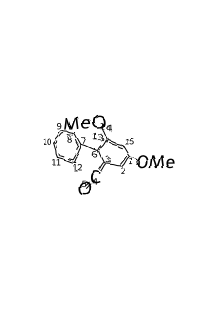 COC1=CC(=C=O)C(c2ccccc2)C(OC)=C1